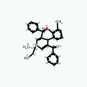 Cc1cccc(C2C(C(=O)c3ccccc3)=CN([C@@H](C)CO)C=C2C(=O)c2ccccc2)c1C